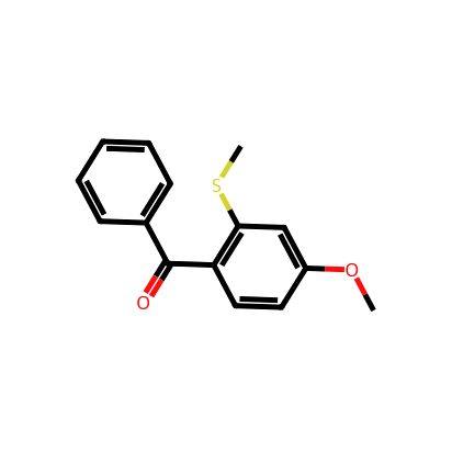 COc1ccc(C(=O)c2ccccc2)c(SC)c1